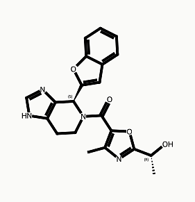 Cc1nc([C@@H](C)O)oc1C(=O)N1CCc2[nH]cnc2[C@H]1c1cc2ccccc2o1